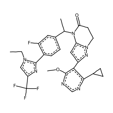 CCn1cc(C(F)(F)F)nc1-c1ccc(C(C)N2C(=O)CCn3nc(-c4c(OC)ncnc4C4CC4)cc32)cc1F